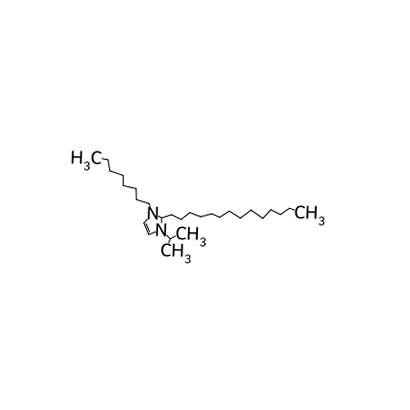 CCCCCCCCCCCCCCC1N(CCCCCCCC)C=CN1C(C)C